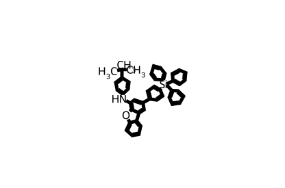 CC(C)(C)c1ccc(Nc2cc(-c3ccc([Si](c4ccccc4)(c4ccccc4)c4ccccc4)cc3)cc3c2oc2ccccc23)cc1